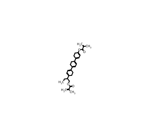 C=C(C)C(=O)OCC(CC)C1=CC=C(C2=CC=C(C3=CC=C(OC(=O)C(=C)C)CC3)CC2)CC1